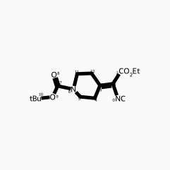 [C-]#[N+]C(C(=O)OCC)=C1CCN(C(=O)OC(C)(C)C)CC1